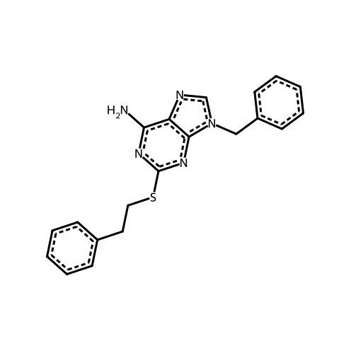 Nc1nc(SCCc2ccccc2)nc2c1ncn2Cc1ccccc1